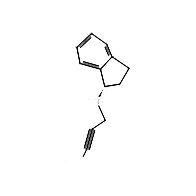 O=C(O)C#CCN[C@@H]1CCc2ccccc21